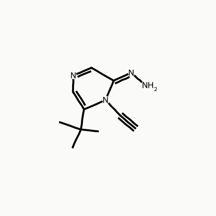 C#Cn1c(C(C)(C)C)cnc/c1=N/N